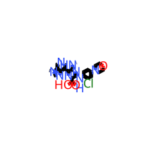 CNc1nc(Nc2ccc(N3CCOCC3)cc2Cl)c(C(=O)O)nc1-c1cncc2c1ncn2C